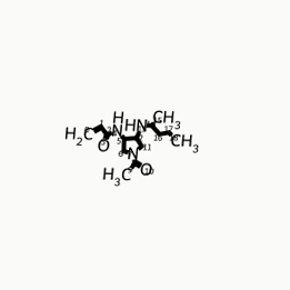 C=CC(=O)NC1CN(C(C)=O)CC1NC(C)CCC